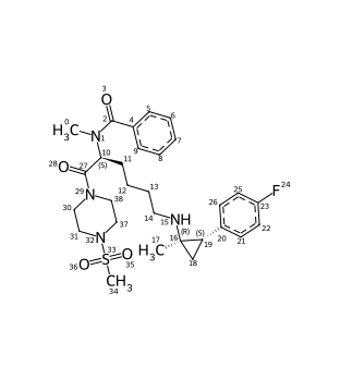 CN(C(=O)c1ccccc1)[C@@H](CCCCN[C@]1(C)C[C@H]1c1ccc(F)cc1)C(=O)N1CCN(S(C)(=O)=O)CC1